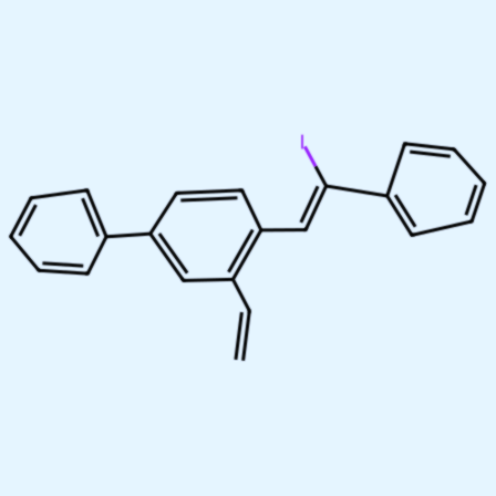 C=Cc1cc(-c2ccccc2)ccc1/C=C(\I)c1ccccc1